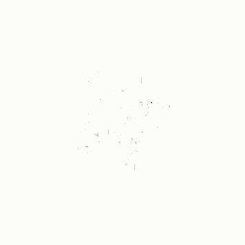 CC1=CC[C]([Zr][CH]2C(n3cc(C)cc3C)=Cc3ccccc32)=C1C.c1ccc(CCc2ccccc2)cc1